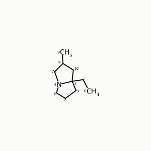 CCC12CCCN1CC(C)C2